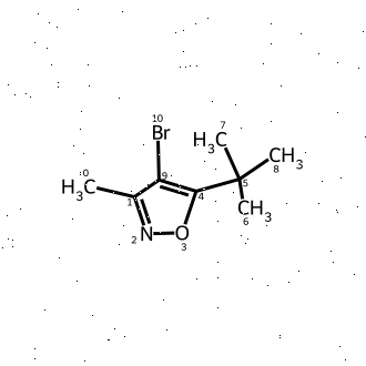 Cc1noc(C(C)(C)C)c1Br